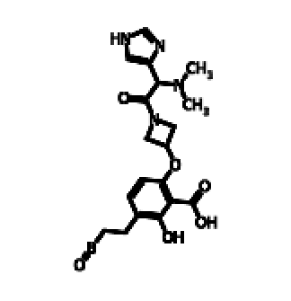 CN(C)C(C(=O)N1CC(Oc2ccc(CCB=O)c(O)c2C(=O)O)C1)c1c[nH]cn1